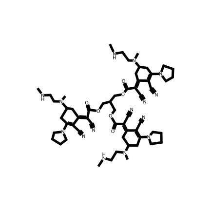 CNCCN(C)C1CC(N2CCCC2)=C(C#N)/C(=C(\C#N)C(=O)OCC(COC(=O)/C(C#N)=C2\CC(N(C)CCNC)CC(N3CCCC3)=C2C#N)COC(=O)/C(C#N)=C2\CC(N(C)CCNC)CC(N3CCCC3)=C2C#N)C1